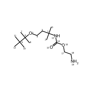 CC(C)(CCOC(C)(C)C(C)(C)C)NC(=O)OCCN